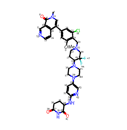 COc1cc(-c2cn(C)c(=O)c3cnccc23)cc(Cl)c1CN1CCC(N2CCN(c3ccc(NC4CCC(=O)NC4=O)nc3)CC2)C(F)(F)C1